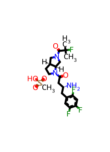 CC(C)(F)C(=O)N1C[C@@H]2CCN(C(=O)C[C@H](N)Cc3cc(F)c(F)cc3F)[C@@H]2C1.CS(=O)(=O)O